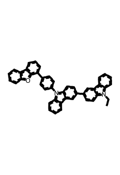 CCn1c2ccccc2c2cc(-c3ccc4c(c3)c3ccccc3n4-c3ccc(-c4cccc5c4oc4ccccc45)cc3)ccc21